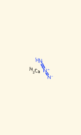 [CaH2].[N-]=[N+]=N